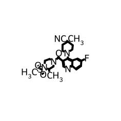 CC1CN(C(=O)c2cnc3ccc(F)cc3c2N2CCC(C)(C#N)CC2)CCN1S(C)(=O)=O